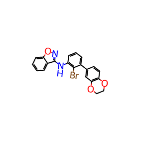 Brc1c(Nc2noc3ccccc23)cccc1-c1ccc2c(c1)OCCO2